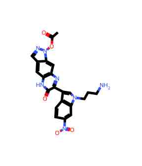 CC(=O)On1ncc2cc3[nH]c(=O)c(-c4cn(CCCN)c5cc([N+](=O)[O-])ccc45)nc3cc21